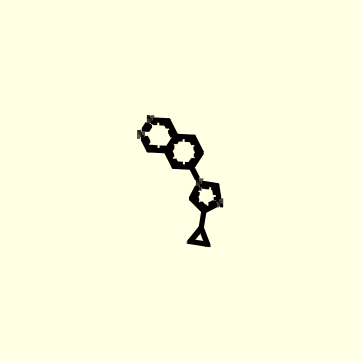 c1cc2cnncc2cc1-n1cnc(C2CC2)c1